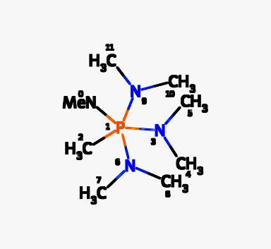 CNP(C)(N(C)C)(N(C)C)N(C)C